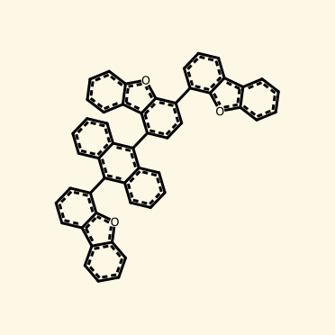 c1ccc2c(c1)oc1c(-c3c4ccccc4c(-c4ccc(-c5cccc6c5oc5ccccc56)c5oc6ccccc6c45)c4ccccc34)cccc12